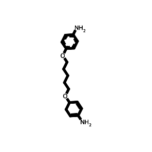 NC1=CCC(OCCCCCOc2ccc(N)cc2)C=C1